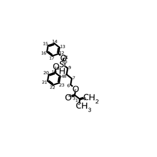 C=C(C)C(=O)OCCCC[SiH](Oc1ccccc1)Oc1ccccc1